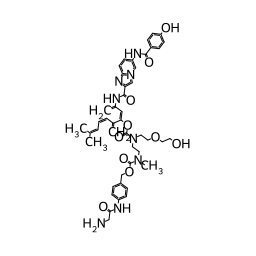 C=C(/C=C(/OC(=O)N(CCOCCO)CCN(C)C(=O)OCc1ccc(NC(=O)CN)cc1)C(=C)/C=C\C=C(C)C)NC(=O)c1cn2cc(NC(=O)c3ccc(O)cc3)ccc2n1